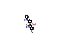 O=c1[nH]c2cc(Cl)ccc2c(O)c1-c1cccc(Nc2ccccc2)c1